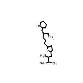 C=C/C(CCCC1=CCC(CC(N)C(O)OC)S1)=N\C1=CCCCN1